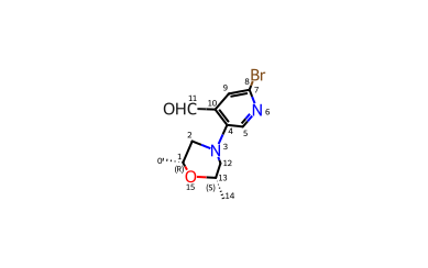 C[C@@H]1CN(c2cnc(Br)cc2C=O)C[C@H](C)O1